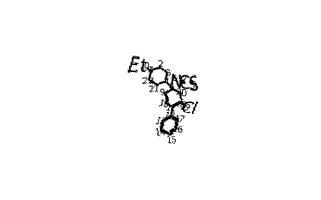 CCC1CCC(C2(N=C=S)C=CC(c3ccccc3)=C(Cl)C2)CC1